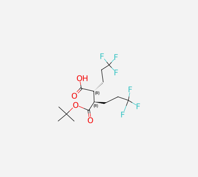 CC(C)(C)OC(=O)[C@H](CCC(F)(F)F)[C@@H](CCC(F)(F)F)C(=O)O